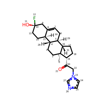 C[C@]12CC[C@H]3[C@@H](CC=C4C[C@@](O)(F)CC[C@@H]43)[C@@H]1CC[C@@H]2C(=O)Cn1ccnc1